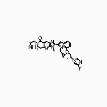 C[C@H](COc1cccc2cc(-c3nc4cc5c(nc4n3C)CCN(C[C@@H](C)N)C5=O)n(CC3CC3)c12)n1cnc(F)c1